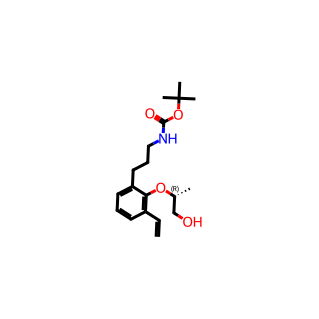 C=Cc1cccc(CCCNC(=O)OC(C)(C)C)c1O[C@H](C)CO